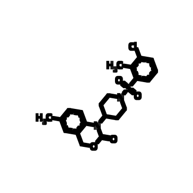 Cc1ccc2c(c1)COC(=O)N2C1CCN(S(=O)(=O)c2cccc(Cl)c2C)CC1